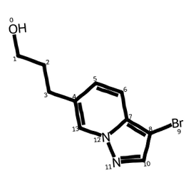 OCCCc1ccc2c(Br)cnn2c1